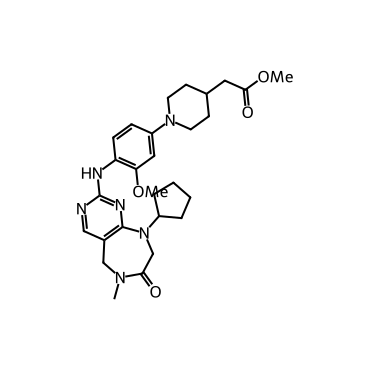 COC(=O)CC1CCN(c2ccc(Nc3ncc4c(n3)N(C3CCCC3)CC(=O)N(C)C4)c(OC)c2)CC1